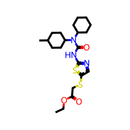 CCOC(=O)CSc1cnc(NC(=O)N(C2CCCCC2)C2CCC(C)CC2)s1